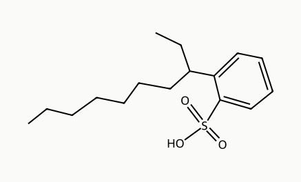 CCCCCCCC(CC)c1ccccc1S(=O)(=O)O